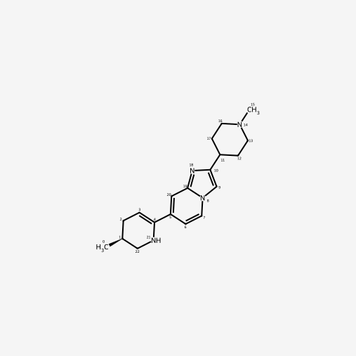 C[C@H]1CC=C(c2ccn3cc(C4CCN(C)CC4)nc3c2)NC1